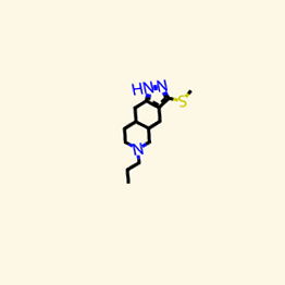 CCCN1CCC2Cc3[nH]nc(SC)c3CC2C1